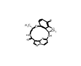 C[C@H]1CNC(=O)c2cnn3ccc(nc23)N[C@H](C)c2c(ccc(F)c2Cl)O1